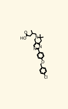 CC(CC(=O)O)CN1Cc2cnc(-c3ccc(OCc4ccc(Cl)cc4)cc3)nc2CC1(C)C